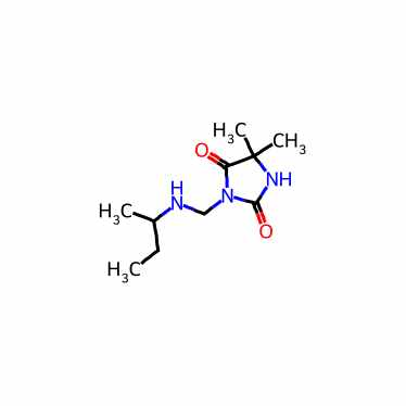 CCC(C)NCN1C(=O)NC(C)(C)C1=O